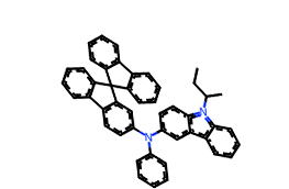 CCC(C)n1c2ccccc2c2cc(N(c3ccccc3)c3ccc4c(c3)C3(c5ccccc5-c5ccccc53)c3ccccc3-4)ccc21